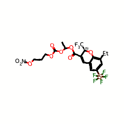 CCc1cc(S(F)(F)(F)(F)F)cc2c1O[C@H](C(F)(F)F)C(C(=O)OC(C)OC(=O)OCCCO[N+](=O)[O-])=C2